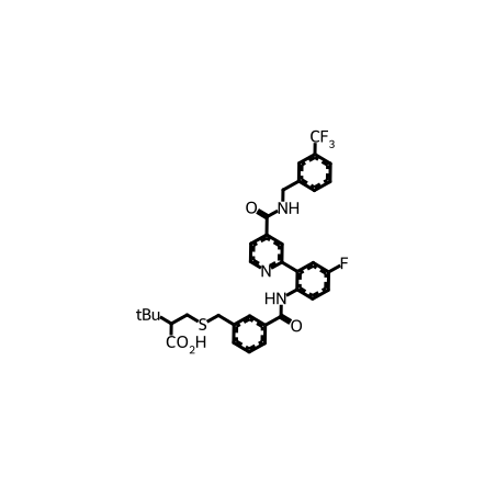 CC(C)(C)C(CSCc1cccc(C(=O)Nc2ccc(F)cc2-c2cc(C(=O)NCc3cccc(C(F)(F)F)c3)ccn2)c1)C(=O)O